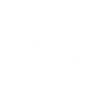 CCCOc1cc2[nH]ncc2cc1Nc1ncnc2sc3c(c12)CC[C@H](C(=O)O)C3